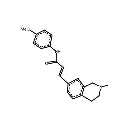 COc1ccc(NC(=O)C=Cc2ccc3c(c2)CN(C)CC3)cc1